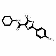 Cc1ccc(-c2nc(C(=O)NC3CCCCC3)c(C)o2)cc1